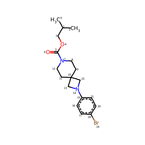 CC(C)COC(=O)N1CCC2(CC1)CN(c1ccc(Br)cc1)C2